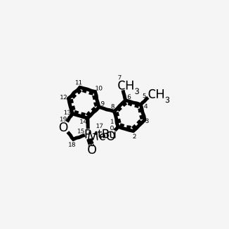 COc1ccc(C)c(C)c1-c1cccc2c1[P@](=O)(C(C)(C)C)CO2